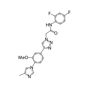 COc1cc(-c2cn(CC(=O)Nc3ccc(F)cc3F)nn2)ccc1-n1cnc(C)c1